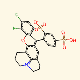 O=S(=O)([O-])c1cc(S(=O)(=O)O)ccc1C1=c2cc3c4c(c2Oc2c1ccc(F)c2F)CCC[N+]=4CCC3